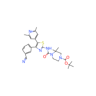 Cc1cc(-c2sc(NC(=O)N3CCN(C(=O)OC(C)(C)C)CC3(C)C)nc2-c2cccc(C#N)c2)cc(C)n1